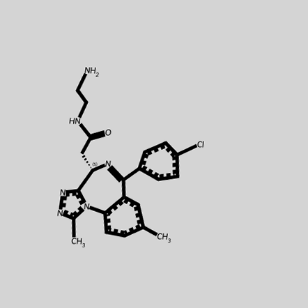 Cc1ccc2c(c1)C(c1ccc(Cl)cc1)=N[C@@H](CC(=O)NCCN)c1nnc(C)n1-2